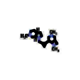 CN1CC2CN(C)C2C(C2CC2CN2CC[C@H]3CCN(C)C[C@H]32)C1